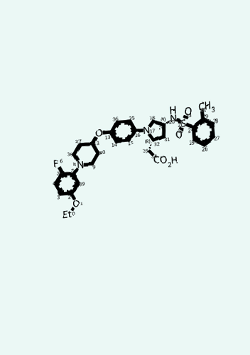 CCOc1ccc(F)c(N2CCC(Oc3ccc(N4C[C@H](NS(=O)(=O)c5ccccc5C)C[C@@H]4CC(=O)O)cc3)CC2)c1